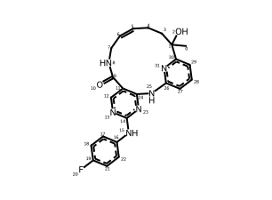 CC1(O)CC/C=C\CNC(=O)c2cnc(Nc3ccc(F)cc3)nc2Nc2cccc1n2